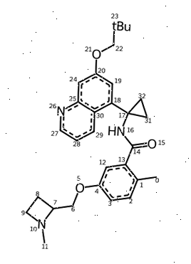 Cc1ccc(OCC2CCN2C)cc1C(=O)NC1(c2cc(OCC(C)(C)C)cc3ncccc23)CC1